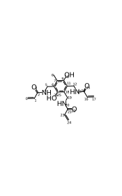 C=CC(=O)NCc1c(C)c(O)c(CNC(=O)C=C)c(CNC(=O)C=C)c1O